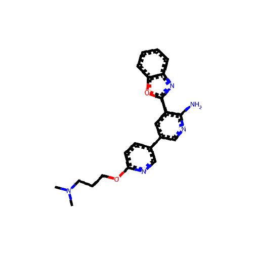 CN(C)CCCOc1ccc(-c2cnc(N)c(-c3nc4ccccc4o3)c2)cn1